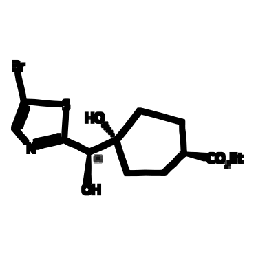 CCOC(=O)[C@H]1CC[C@@](O)([C@@H](O)c2ncc(Br)s2)CC1